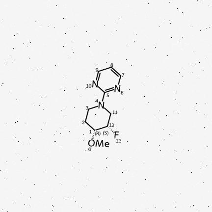 CO[C@@H]1CCN(c2ncccn2)C[C@@H]1F